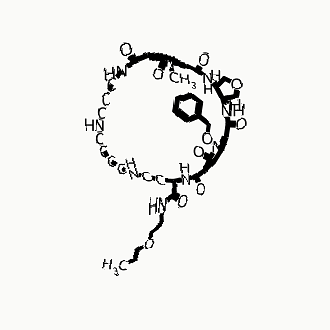 CCCOCCNC(=O)C1CCNCCCCNCCCNC(=O)c2ccc(n(C)c2=O)C(=O)N[C@@H]2COC[C@@H]2NC(=O)c2ccc(c(=O)n2OCc2ccccc2)C(=O)N1